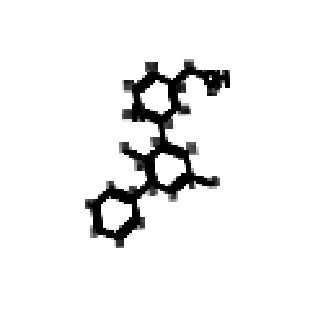 Cc1cc(-c2ccccc2)c(C)c(-c2cc(CO)ccn2)c1